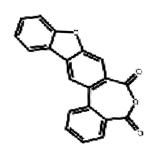 O=c1oc(=O)c2cc3oc4ccccc4c3cc2c2ccccc12